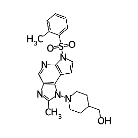 Cc1ccccc1S(=O)(=O)n1ccc2c1ncc1nc(C)n(N3CCC(CO)CC3)c12